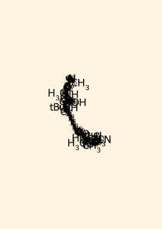 Cc1ncsc1-c1ccc([C@H](C)NC(=O)[C@@H]2C[C@@H](O)CN2C(=O)[C@@H](NC(=O)CCCCCCCCc2ccc(C(=O)N[C@H]3C(C)(C)[C@H](Oc4ccc(C#N)c(Cl)c4)C3(C)C)cc2)C(C)(C)C)cc1